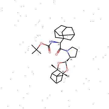 CC(C)(C)OC(=O)N[C@H](C(=O)N1CCC[C@H]1B1O[C@@H]2CC3CC(C3(C)C)[C@]2(C)O1)C12CC3CC(CC(C3)C1)C2